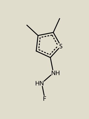 Cc1cc(NNF)sc1C